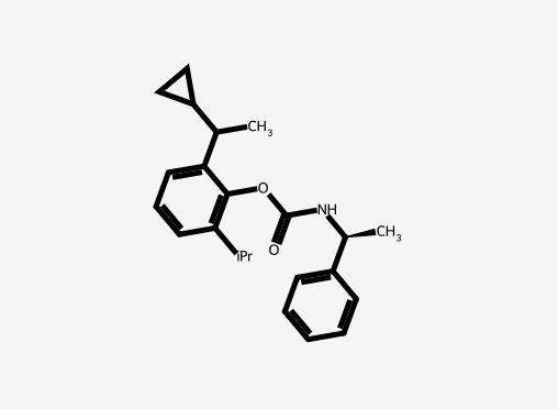 CC(C)c1cccc(C(C)C2CC2)c1OC(=O)N[C@@H](C)c1ccccc1